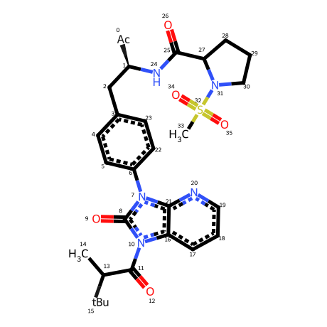 CC(=O)[C@H](Cc1ccc(-n2c(=O)n(C(=O)C(C)C(C)(C)C)c3cccnc32)cc1)NC(=O)C1CCCN1S(C)(=O)=O